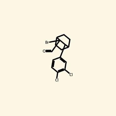 O=CC1(Br)C2CCC(CC2)C1c1ccc(Cl)c(Cl)c1